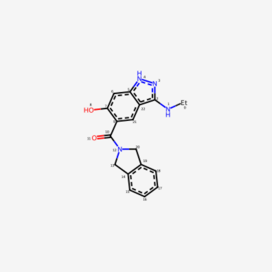 CCNc1n[nH]c2cc(O)c(C(=O)N3Cc4ccccc4C3)cc12